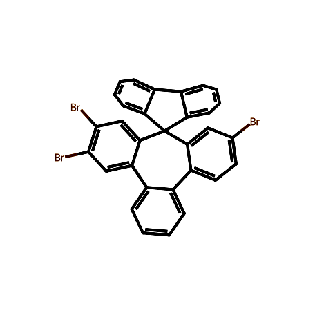 Brc1ccc2c(c1)C1(c3cc(Br)c(Br)cc3-c3ccccc3-2)c2ccccc2-c2ccccc21